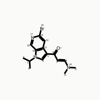 CC(C)n1cc(C(=O)/C=C/N(C)C)c2cc(Br)ncc21